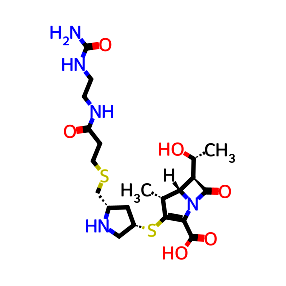 C[C@@H](O)[C@H]1C(=O)N2C(C(=O)O)=C(S[C@@H]3CN[C@H](CSCCC(=O)NCCNC(N)=O)C3)[C@H](C)[C@H]12